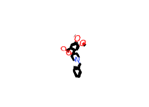 COc1cc2c(cc1OC)C1(CCN(Cc3ccccc3)CC1)OC2=O